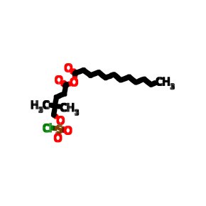 CCCCCCCCCCCC(=O)OC(=O)CCC(C)(C)COS(=O)(=O)Cl